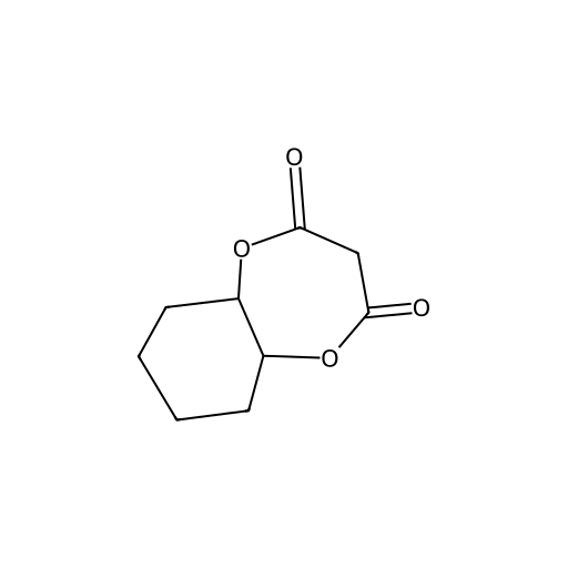 O=C1CC(=O)OC2CCCCC2O1